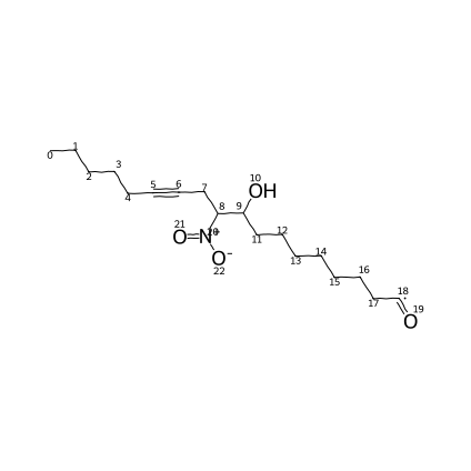 CCCCCC#CCC(C(O)CCCCCCC[C]=O)[N+](=O)[O-]